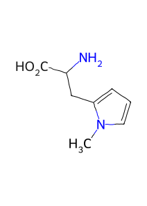 Cn1cccc1CC(N)C(=O)O